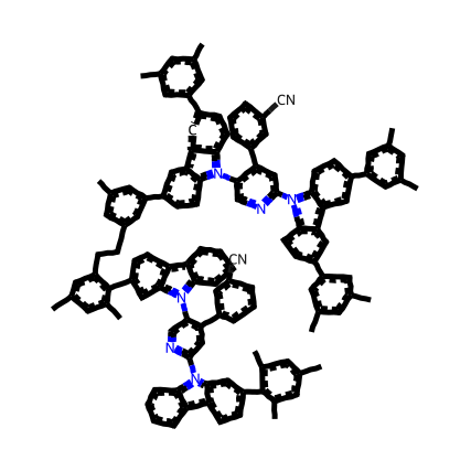 Cc1cc(C)cc(-c2ccc3c(c2)c2cc(-c4cc(C)cc(C)c4)ccc2n3-c2cc(-c3cccc(C#N)c3)c(-n3c4ccc(-c5cc(C)cc(C)c5)cc4c4cc(-c5cc(C)cc(CCc6cc(C)cc(C)c6-c6ccc7c8ccccc8n(-c8cnc(-n9c%10ccccc%10c%10ccc(-c%11c(C)cc(C)cc%11C)cc%109)cc8-c8cccc(C#N)c8)c7c6)c5)ccc43)cn2)c1